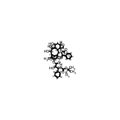 CC(=O)O[C@@]12CO[C@@H]1C[C@H](O)[C@@]1(C)C(=O)[C@H](O)C3=C(C)[C@@H](OC(=O)[C@H](O)[C@@H](NC(=O)OC(C)(C)C)c4ccccc4)C[C@@](O)([C@@H](CC(=O)c4ccccc4)C12)C3(C)C